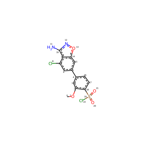 COc1cc(-c2cc(Cl)c3c(N)noc3c2)ccc1S(=O)(=O)Cl